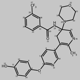 CC1=C(c2ccc(Oc3ccc(O)cc3)nc2)CC(NC(=O)c2cccc(C(F)(F)F)c2)(N2CCOCC2)C=N1